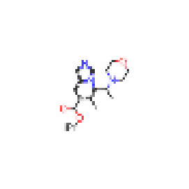 Cc1c(C(=O)OC(C)C)cc2cncn2c1C(C)N1CCOCC1